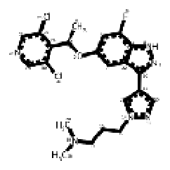 C[C@@H](Oc1cc(F)c2[nH]nc(-c3cnn(CCCN(C)C)c3)c2c1)c1c(Cl)cncc1Cl